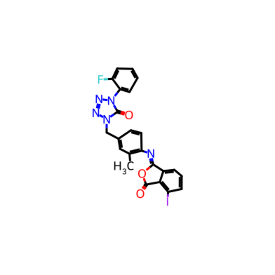 Cc1cc(Cn2nnn(-c3ccccc3F)c2=O)ccc1/N=C1\OC(=O)c2c(I)cccc21